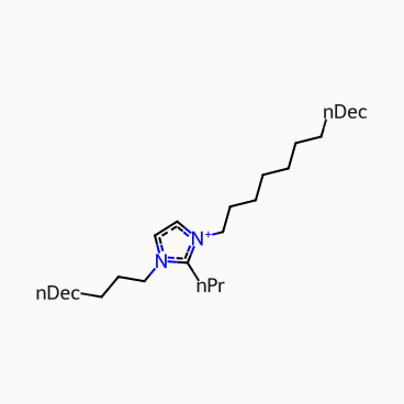 CCCCCCCCCCCCCCCCC[n+]1ccn(CCCCCCCCCCCCC)c1CCC